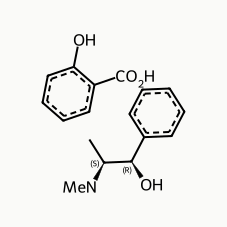 CN[C@@H](C)[C@H](O)c1ccccc1.O=C(O)c1ccccc1O